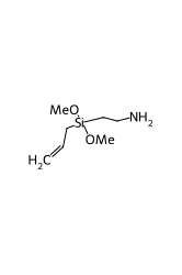 C=CC[Si](CCN)(OC)OC